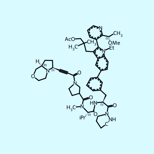 CCn1c(-c2cccnc2[C@H](C)OC)c(CC(C)(C)COC(C)=O)c2cc(-c3cccc(C[C@H](NC(=O)[C@H](C(C)C)N(C)C(=O)C4CCN(C(=O)C#C[C@@H]5CC[C@@H]6COCCN65)C4)C(=O)N4CCCCN4)c3)ccc21